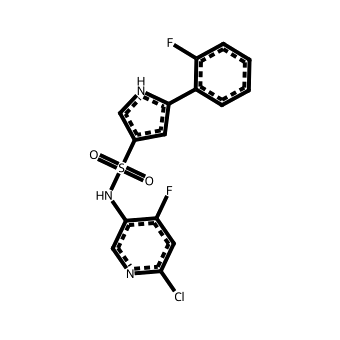 O=S(=O)(Nc1cnc(Cl)cc1F)c1c[nH]c(-c2ccccc2F)c1